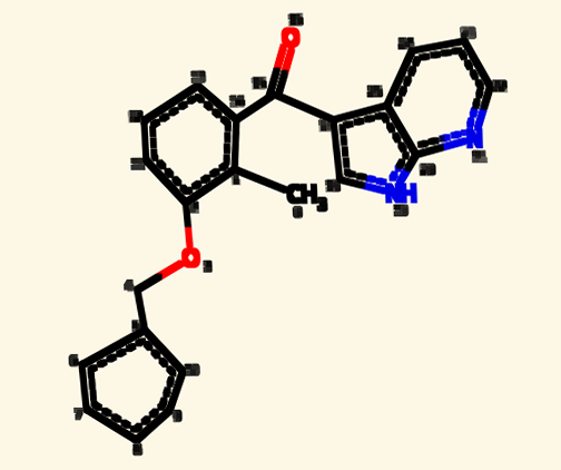 Cc1c(OCc2ccccc2)cccc1C(=O)c1c[nH]c2ncccc12